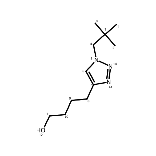 CC(C)(C)Cn1cc(CCCCO)nn1